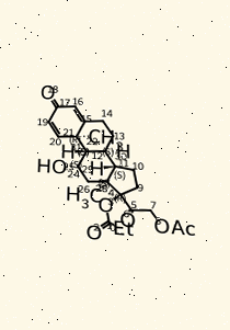 CCC(=O)O[C@]1(C(=O)COC(C)=O)CC[C@H]2[C@@H]3CCC4=CC(=O)C=C[C@]4(C)[C@H]3[C@@H](O)C[C@@]21C